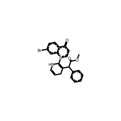 COC(=O)C(C1=C(n2ccc(=O)c3ccc(Br)cc32)NC=CC1)c1ccccc1